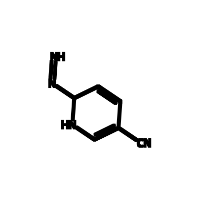 N#CC1=CNC(N=N)C=C1